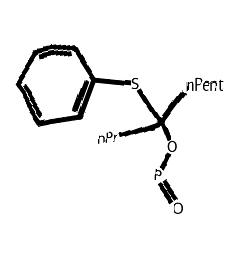 CCCCCC(CCC)(OP=O)Sc1ccccc1